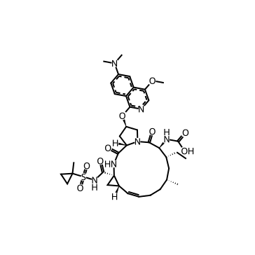 CC[C@@H]1C[C@H](C)CCC=C[C@@H]2C[C@@]2(C(=O)NS(=O)(=O)C2(C)CC2)NC(=O)[C@@H]2C[C@@H](Oc3ncc(OC)c4cc(N(C)C)ccc34)CN2C(=O)[C@H]1NC(=O)O